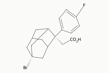 O=C(O)C[C@]1(c2ccc(F)cc2)C2CC3CC1C[C@](Br)(C3)C2